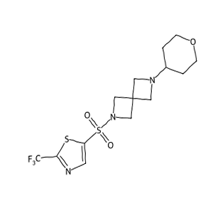 O=S(=O)(c1cnc(C(F)(F)F)s1)N1CC2(CN(C3CCOCC3)C2)C1